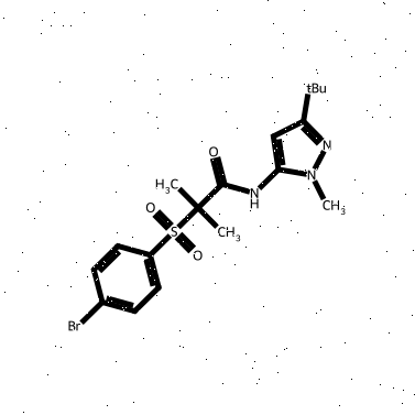 Cn1nc(C(C)(C)C)cc1NC(=O)C(C)(C)S(=O)(=O)c1ccc(Br)cc1